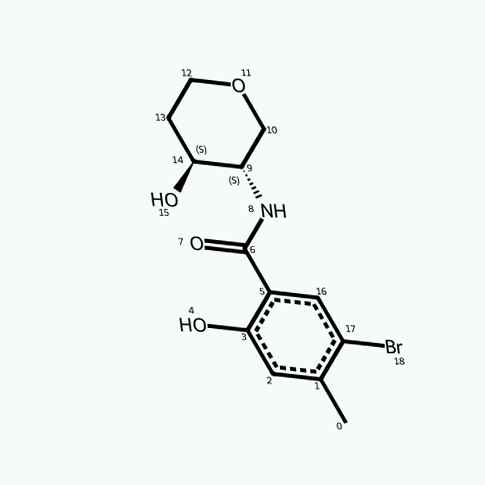 Cc1cc(O)c(C(=O)N[C@H]2COCC[C@@H]2O)cc1Br